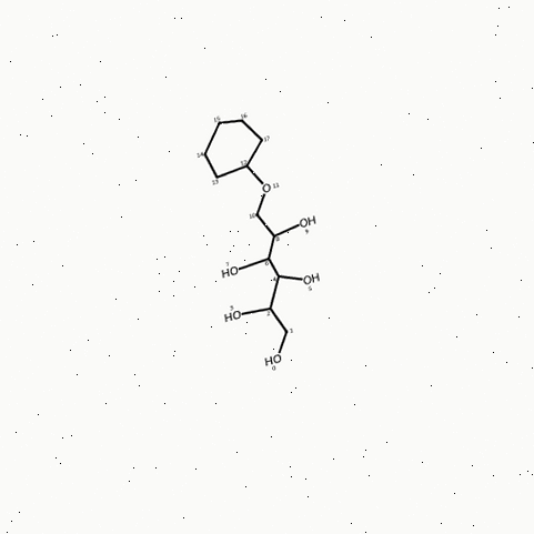 OCC(O)C(O)C(O)C(O)COC1CCCCC1